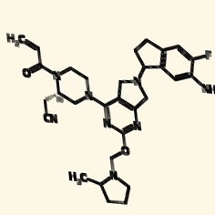 C=CC(=O)N1CCN(c2nc(OCN3CCCC3C)nc3c2CN(C2CCc4cc(F)c(N)cc42)C3)C[C@@H]1CC#N